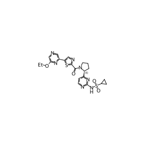 CCOc1cncc(-c2cnc(C(=O)N3CCC[C@H]3c3ccnc(NS(=O)(=O)C4CC4)n3)s2)n1